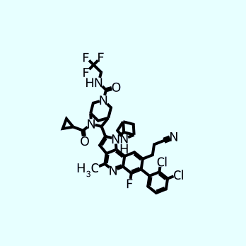 Cc1nc2c(F)c(-c3cccc(Cl)c3Cl)c(CCC#N)cc2c2c1cc(C1C3CC(CN(C(=O)NCC(F)(F)F)C3)N1C(=O)C1CC1)n2C1C2CNC1C2